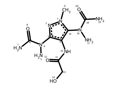 Cn1nc(N(N)C(N)=O)c(NC(=O)CO)c1N(N)C(N)=O